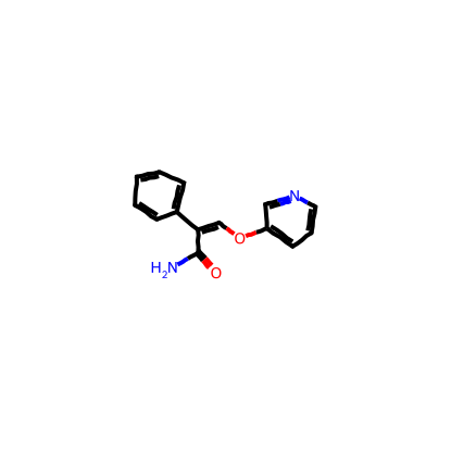 NC(=O)C(=COc1cccnc1)c1ccccc1